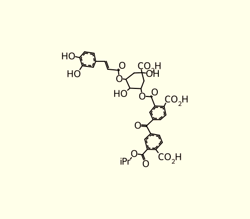 CC(C)OC(=O)c1cc(C(=O)c2ccc(C(=O)O)c(C(=O)OC3CC(O)(C(=O)O)CC(OC(=O)/C=C/c4ccc(O)c(O)c4)C3O)c2)ccc1C(=O)O